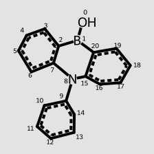 OB1c2ccccc2N(c2ccccc2)c2ccccc21